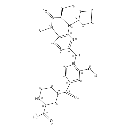 CC[C@@H]1C(=O)N(C)c2cnc(Nc3ccc(C(=O)N4CCNC(C(=O)O)C4)cc3OC)nc2N1C1CCCC1